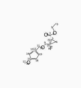 CCOC(=O)[C@@H]1C[C@@]1(F)COCc1ccc(OC)cc1